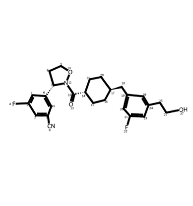 N#Cc1cc(F)cc([C@@H]2CCON2C(=O)[C@H]2CC[C@H](Cc3cc(F)cc(CCO)c3)CC2)c1